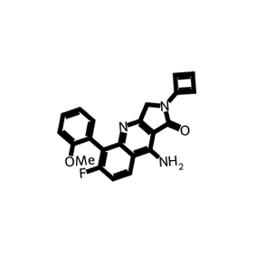 COc1ccccc1-c1c(F)ccc2c(N)c3c(nc12)CN(C1=CC=C1)C3=O